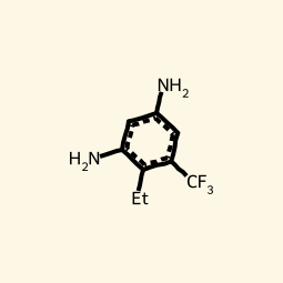 CCc1c(N)cc(N)cc1C(F)(F)F